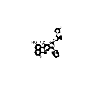 C#Cc1c(F)ccc2cc(O)cc(-c3ncc4c(N5CC6CCC(C5)N6)nc(OCC5(CN6CC[C@@H](F)C6)CC5)nc4c3C(F)(F)F)c12